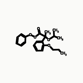 CCCOc1ccccc1C(C)(OC(C)C)C(=O)OOc1ccccc1